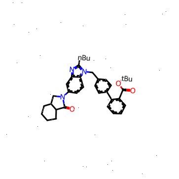 CCCCc1nc2cc(N3CC4CCCCC4C3=O)ccc2n1Cc1ccc(-c2ccccc2C(=O)OC(C)(C)C)cc1